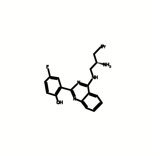 CC(C)C[C@H](N)CNc1nc(-c2cc(F)ccc2O)nc2ccccc12